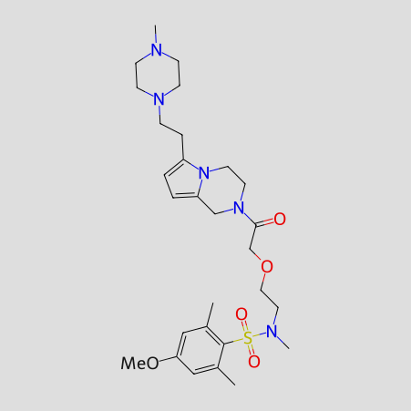 COc1cc(C)c(S(=O)(=O)N(C)CCOCC(=O)N2CCn3c(CCN4CCN(C)CC4)ccc3C2)c(C)c1